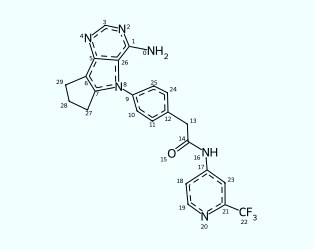 Nc1ncnc2c3c(n(-c4ccc(CC(=O)Nc5ccnc(C(F)(F)F)c5)cc4)c12)CCC3